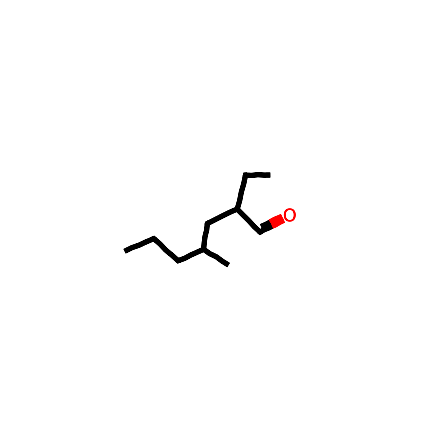 CCCC(C)CC(C=O)CC